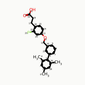 Cc1cc(C)c(-c2cccc(COc3ccc(CCC(=O)O)c(F)c3)c2)c(C)c1